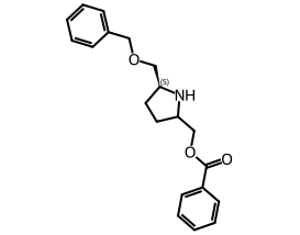 O=C(OCC1CC[C@@H](COCc2ccccc2)N1)c1ccccc1